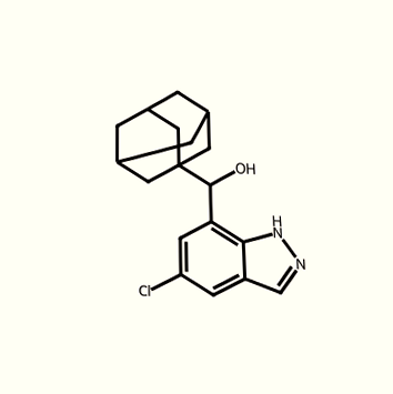 OC(c1cc(Cl)cc2cn[nH]c12)C12CC3CC(CC(C3)C1)C2